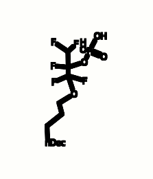 CCCCCCCCCCCCCOC(F)(F)C(F)(OP(=O)(O)O)C(F)F